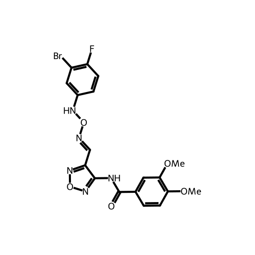 COc1ccc(C(=O)Nc2nonc2/C=N/ONc2ccc(F)c(Br)c2)cc1OC